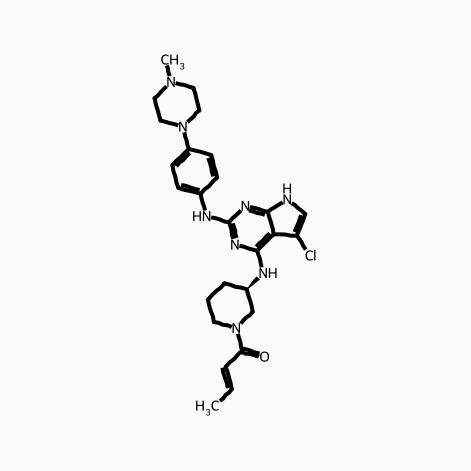 C/C=C/C(=O)N1CCC[C@@H](Nc2nc(Nc3ccc(N4CCN(C)CC4)cc3)nc3[nH]cc(Cl)c23)C1